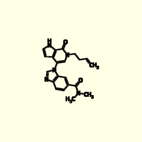 C=CCCn1cc(-n2cnc3ccc(C(=O)N(C)C)cc32)c2cc[nH]c2c1=O